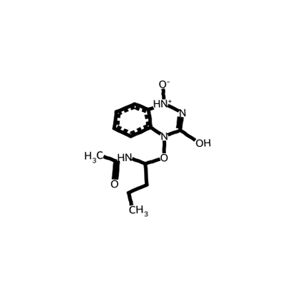 CCCC(NC(C)=O)ON1C(O)=N[NH+]([O-])c2ccccc21